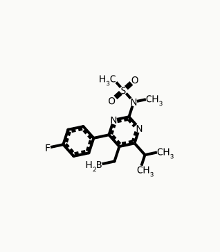 BCc1c(-c2ccc(F)cc2)nc(N(C)S(C)(=O)=O)nc1C(C)C